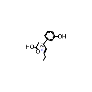 CC/C=C/[C@H](CC(=O)O)c1cccc(O)c1